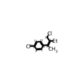 CC/C(CCl)=C(\C)c1ccc(Cl)cc1